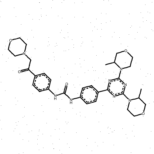 CC1COCCN1c1nc(-c2ccc(NC(=O)Nc3ccc(C(=O)CN4CCOCC4)cc3)cc2)nc(N2CCOCC2C)n1